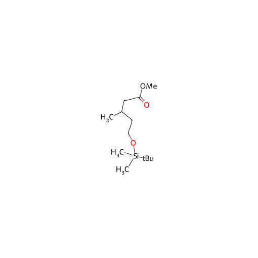 COC(=O)CC(C)CCO[Si](C)(C)C(C)(C)C